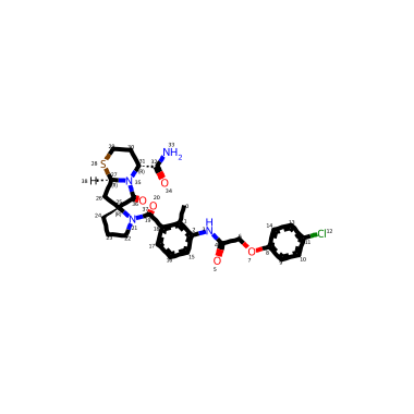 Cc1c(NC(=O)COc2ccc(Cl)cc2)cccc1C(=O)N1CCC[C@]12C[C@H]1SCC[C@H](C(N)=O)N1C2=O